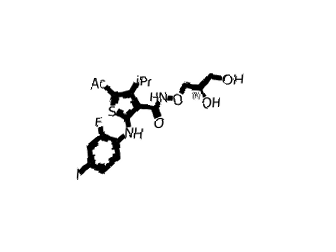 CC(=O)c1sc(Nc2ccc(I)cc2F)c(C(=O)NOC[C@H](O)CO)c1C(C)C